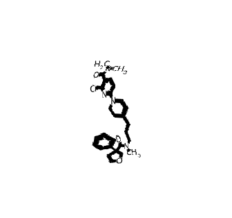 CN(C)C(=O)c1ccc(N2CCC(CCCN(C)C(=O)[C@@]3(c4ccccc4)CCOC3)CC2)nc1Cl